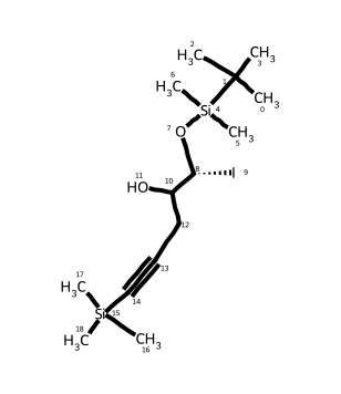 CC(C)(C)[Si](C)(C)O[C@H](I)C(O)CC#C[Si](C)(C)C